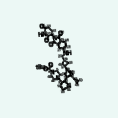 CC(C)(C)OC(=O)N1CCN(c2cccnc2-c2cn(C3CC(CNc4ccc5c(c4)C(=O)N(C4CCC(=O)NC4=O)C5=O)C3)nc2C2CC2)CC1